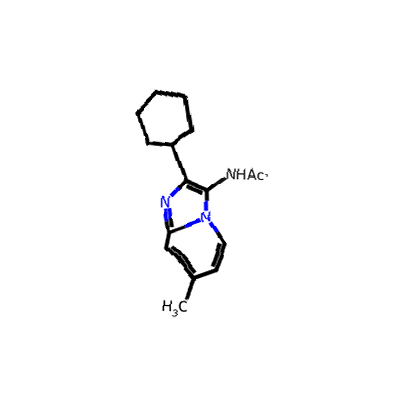 CC(=O)[N]c1c(C2CCCCC2)nc2cc(C)ccn12